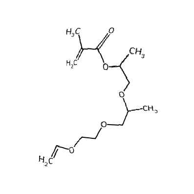 C=COCCOCC(C)OCC(C)OC(=O)C(=C)C